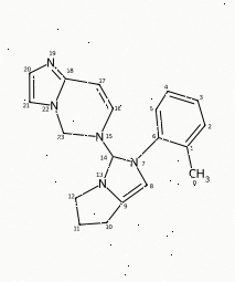 Cc1ccccc1N1C=C2CCCN2C1N1C=Cc2nccn2C1